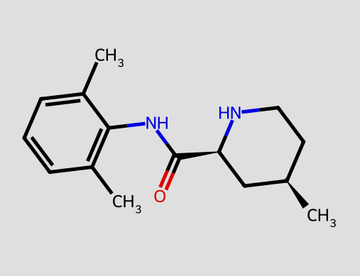 Cc1cccc(C)c1NC(=O)[C@@H]1C[C@H](C)CCN1